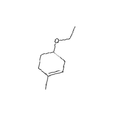 CCOC1CC=C(C)CC1